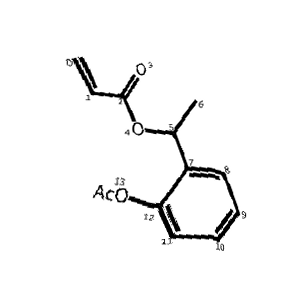 C=CC(=O)OC(C)c1ccccc1OC(C)=O